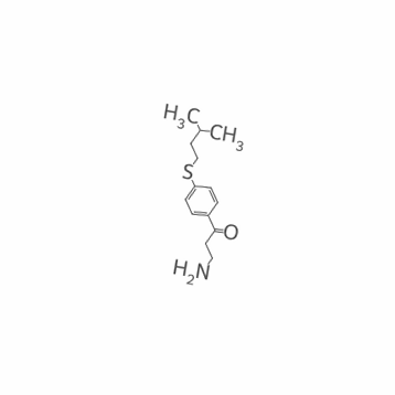 CC(C)CCSc1ccc(C(=O)CCN)cc1